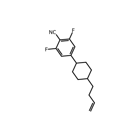 C=CCCC1CCC(c2cc(F)c(C#N)c(F)c2)CC1